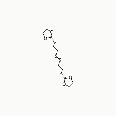 C1COP(OCCSSCCOP2OCCO2)O1